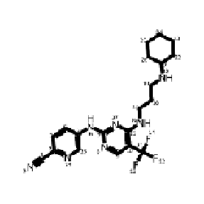 N#Cc1ccc(Nc2ncc(C(F)(F)F)c(NCCCNC3CCCCC3)n2)cn1